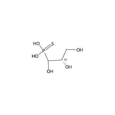 OC[C@H](O)C(O)P(O)(O)=S